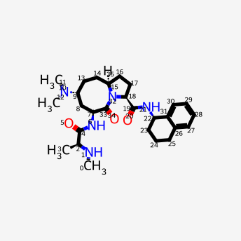 CN[C@@H](C)C(=O)N[C@H]1C[C@H](N(C)C)CC[C@H]2CC[C@@H](C(=O)N[C@@H]3CCCc4ccccc43)N2C1=O